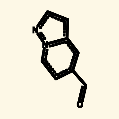 O=Cc1ccn2nccc2c1